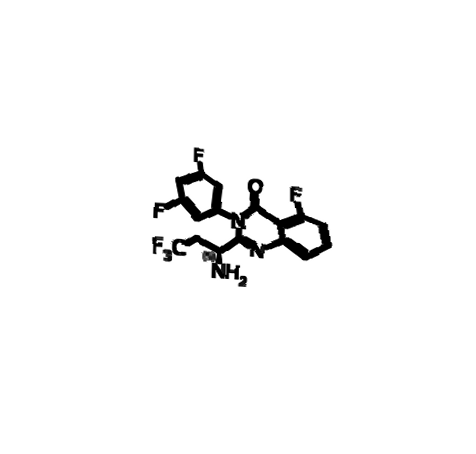 N[C@@H](CC(F)(F)F)c1nc2cccc(F)c2c(=O)n1-c1cc(F)cc(F)c1